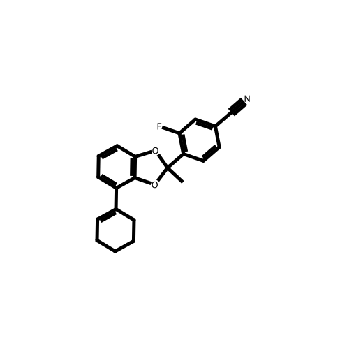 CC1(c2ccc(C#N)cc2F)Oc2cccc(C3=CCCCC3)c2O1